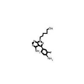 Nc1ccc(-c2nn(CCCCCO)c3ncnc(N)c23)cc1F